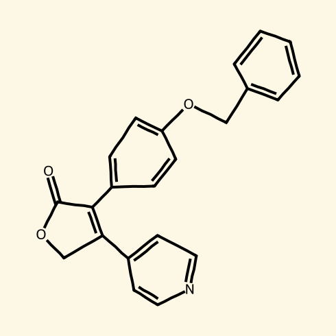 O=C1OCC(c2ccncc2)=C1c1ccc(OCc2ccccc2)cc1